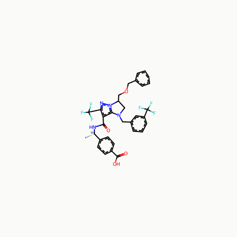 C[C@H](NC(=O)c1c(C(F)(F)F)nn2c1N(Cc1cccc(C(F)(F)F)c1)CC2COCc1ccccc1)c1ccc(C(=O)O)cc1